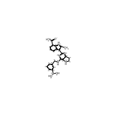 Cc1[nH]c2c(C(N)=O)cccc2c1-c1nc2c(c(NCc3cccc(B(O)O)c3)n1)NCC2